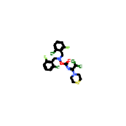 O=C(N=C(C(Cl)Cl)N1CCSCC1)ON(Cc1c(F)cccc1Cl)Cc1c(F)cccc1Cl